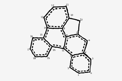 c1ccc2c(c1)cc1c3c4c(cccc4c4ccccc4c23)C1